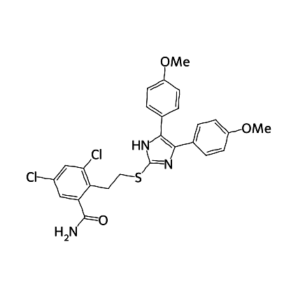 COc1ccc(-c2nc(SCCc3c(Cl)cc(Cl)cc3C(N)=O)[nH]c2-c2ccc(OC)cc2)cc1